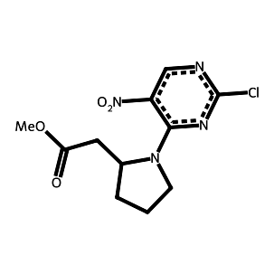 COC(=O)CC1CCCN1c1nc(Cl)ncc1[N+](=O)[O-]